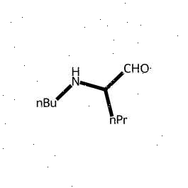 CCCCNC([C]=O)CCC